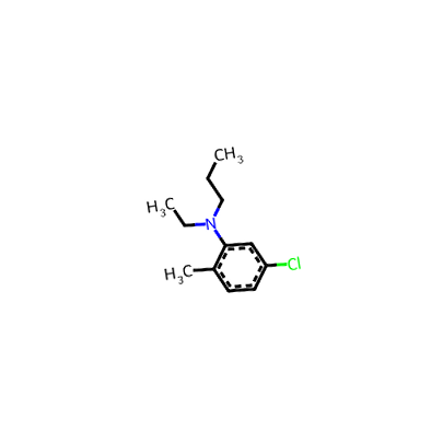 CCCN(CC)c1cc(Cl)ccc1C